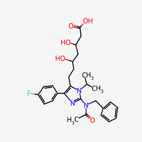 CC(=O)N(Cc1ccccc1)c1nc(-c2ccc(F)cc2)c(CCC(O)CC(O)CC(=O)O)n1C(C)C